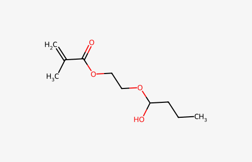 C=C(C)C(=O)OCCOC(O)CCC